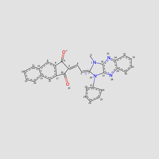 CN1/C(=C\C=C2C(=O)c3cc4ccccc4cc3C2=O)N(c2ccccc2)c2nc3ccccc3nc21